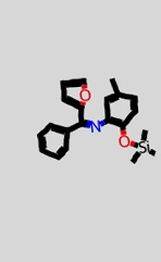 Cc1ccc(O[Si](C)(C)C)c(N=C(c2ccccc2)c2ccco2)c1